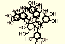 O=C(O[C@@]1(C(=O)c2cc(O)c(O)c(O)c2)O[C@H](CO)[C@@H](O)[C@@](OC(=O)c2cc(O)c(O)c(O)c2)(C(=O)c2cc(O)c(O)c(O)c2)[C@]1(OC(=O)c1cc(O)c(O)c(O)c1)C(=O)c1cc(O)c(O)c(O)c1)c1cc(O)c(O)c(O)c1